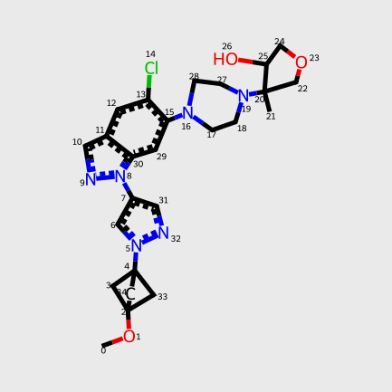 COC12CC(n3cc(-n4ncc5cc(Cl)c(N6CCN(C7(C)COCC7O)CC6)cc54)cn3)(C1)C2